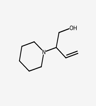 C=CC(CO)N1CCCCC1